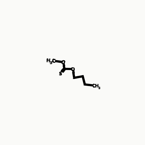 CCCCOC(=S)OC